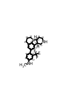 CNc1ccc(-c2cc3c4c(c2)[C@@H]2CNCC[C@@H]2N4CCC3)c(C(F)(F)F)c1